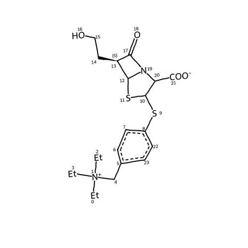 CC[N+](CC)(CC)Cc1ccc(SC2SC3[C@@H](CCO)C(=O)N3C2C(=O)[O-])cc1